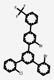 FC(F)(F)c1cccc(-c2ccc(-c3cc(-c4ccccc4Cl)cc(-c4ccccc4Br)c3)c(Br)c2)c1